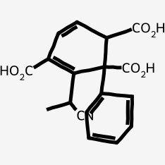 CC(C#N)C1=C(C(=O)O)C=CC(C(=O)O)C1(C(=O)O)c1ccccc1